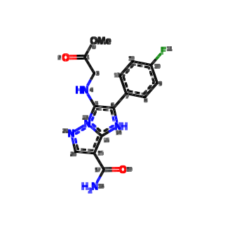 COC(=O)CNc1c(-c2ccc(F)cc2)[nH]c2c(C(N)=O)cnn12